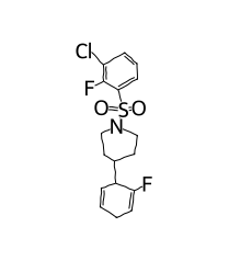 O=S(=O)(c1cccc(Cl)c1F)N1CCC(C2C=CCC=C2F)CC1